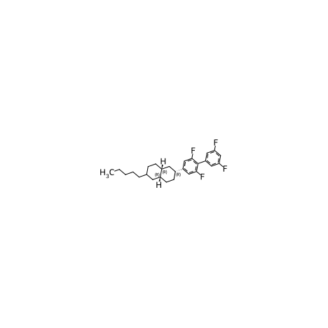 CCCCCC1CC[C@@H]2C[C@H](c3cc(F)c(-c4cc(F)cc(F)c4)c(F)c3)CC[C@@H]2C1